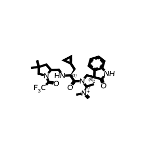 C=[N+](C)[C@@H]1C[C@@]2(CN1C(=O)[C@H](CC1CC1)NCC1CC(C)(C)CN1C(=O)C(F)(F)F)C(=O)Nc1ccccc12